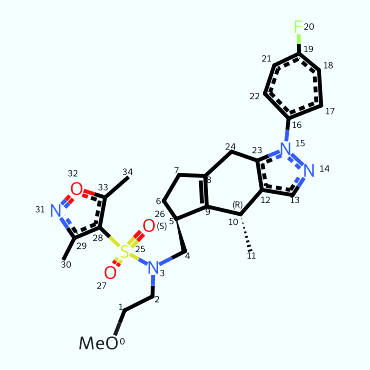 COCCN(C[C@H]1CCC2=C1[C@@H](C)c1cnn(-c3ccc(F)cc3)c1C2)S(=O)(=O)c1c(C)noc1C